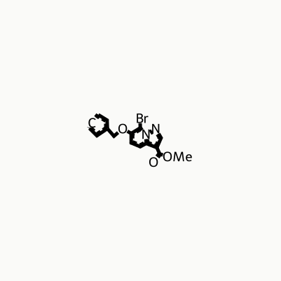 COC(=O)c1cnn2c(Br)c(OCc3ccccc3)ccc12